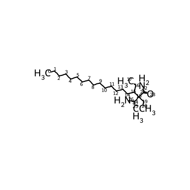 CCCCCCCCCCCCCCCC(CC)C(CC)(C(N)=O)C(C)N